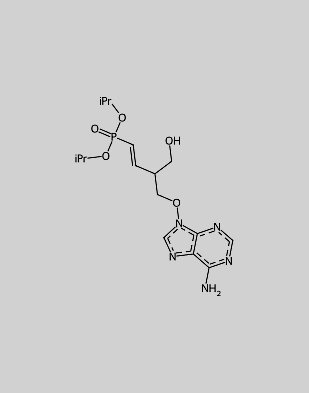 CC(C)OP(=O)(C=CC(CO)COn1cnc2c(N)ncnc21)OC(C)C